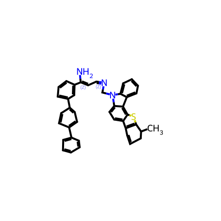 CC1CC=Cc2c1sc1c2ccc2c1c1ccccc1n2C/N=C\C=C(/N)c1cccc(-c2ccc(-c3ccccc3)cc2)c1